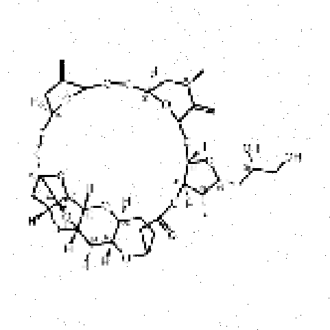 C=C1C[C@@H]2CC[C@@]34C[C@H]5O[C@H]6[C@@H](O3)[C@H]3OC(CC[C@@H]3O[C@H]6[C@H]5O4)CC(=O)C[C@@H]3[C@@H](C)[C@@H](C[C@H](O)CO)O[C@H]3CC3O[C@@H](CCC1O2)C[C@@H](C)C3=C